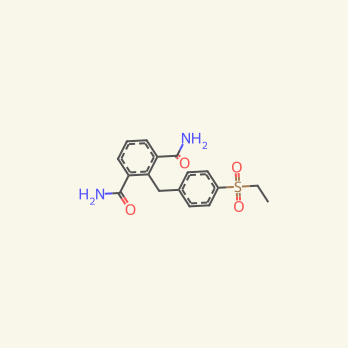 CCS(=O)(=O)c1ccc(Cc2c(C(N)=O)cccc2C(N)=O)cc1